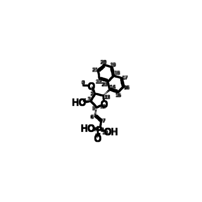 CO[C@@H]1[C@H](O)[C@@H](/C=C/P(=O)(O)O)O[C@H]1c1cccc2ccccc12